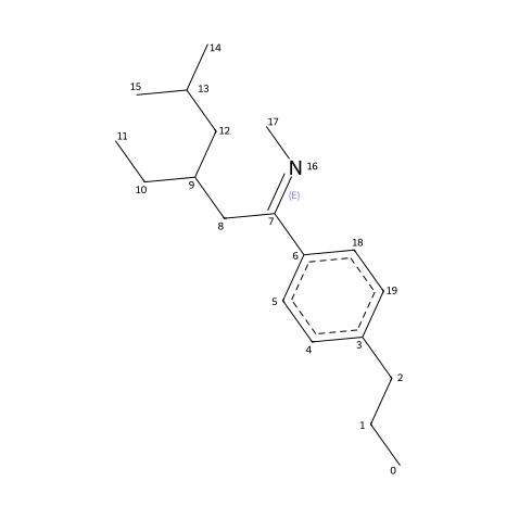 CCCc1ccc(/C(CC(CC)CC(C)C)=N/C)cc1